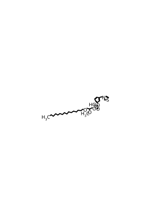 CCCCCCCCCCCCCCCCOCC(COP(=O)(O)Oc1cccc(C[n+]2ccsc2)c1)OC